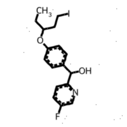 CCC(CCI)Oc1ccc(C(O)c2ccc(F)cn2)cc1